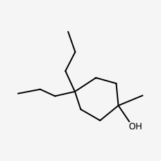 CCCC1(CCC)CCC(C)(O)CC1